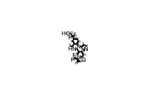 CC(Nc1nc2ccnn2c2cc(=O)n(C3(C(F)F)CC3)cc12)c1cccc(C(F)(F)CO)c1